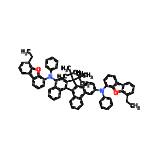 CCc1cccc2c1oc1c(N(c3ccccc3)c3ccc4c5c(c6ccccc6c4c3)-c3c(cc(N(c4ccccc4)c4cccc6c4oc4c(CC)cccc46)c4ccccc34)C5(C(C)(C)C)C(C)(C)C)cccc12